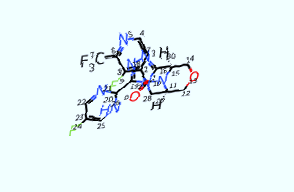 O=C(c1ccnc(C(F)(F)F)c1F)N1[C@H]2COC[C@@H]1c1nnc(C3N=CC(F)=CN3)n1C2